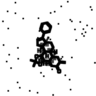 C=C1C[C@@]2(C)[C@H](CC1=O)[C@H]1OC(C)(C)O[C@@H]1[C@@H]1[C@@H]2CC[C@]2(C)C(c3ccccc3)=CC[C@@H]12